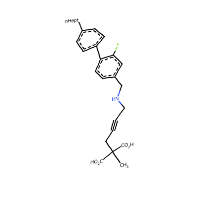 CCCCCCCc1ccc(-c2ccc(CNCC#CCC(C)(C(=O)O)C(=O)O)cc2F)cc1